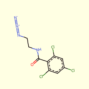 [N-]=[N+]=NCCNC(=O)c1c(Cl)cc(Cl)cc1Cl